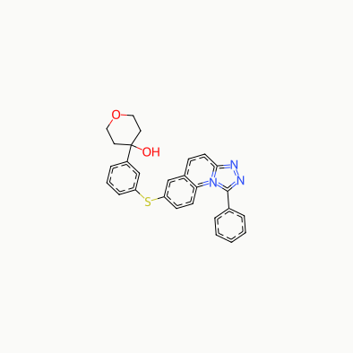 OC1(c2cccc(Sc3ccc4c(ccc5nnc(-c6ccccc6)n54)c3)c2)CCOCC1